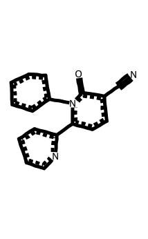 N#Cc1ccc(-c2ccccn2)n(-c2ccccc2)c1=O